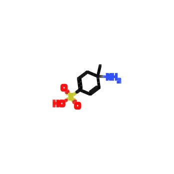 CC1(N)C=CC(S(=O)(=O)O)=CC1